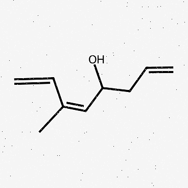 C=CCC(O)/C=C(/C)C=C